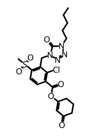 CCCCCn1nnn(Cc2c(S(C)(=O)=O)ccc(C(=O)OC3=CC(=O)CCC3)c2Cl)c1=O